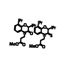 COC(=O)CCN1C(=O)C(C(C)C)Oc2c(C(C)C)cccc21.COC(=O)CCN1C(=S)C(C(C)C)Oc2c(C(C)C)cccc21